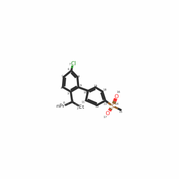 CCCC(CC)c1ccc(Cl)cc1-c1ccc(S(C)(=O)=O)cc1